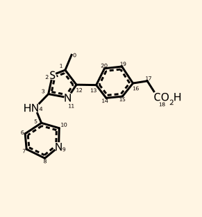 Cc1sc(Nc2cccnc2)nc1-c1ccc(CC(=O)O)cc1